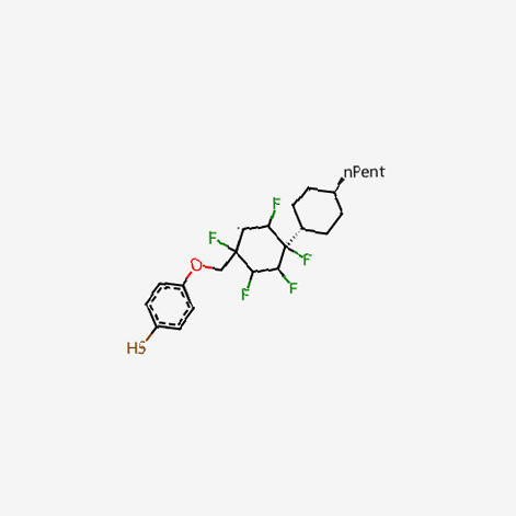 CCCCC[C@H]1CC[C@H](C2(F)C(F)[CH]C(F)(COc3ccc(S)cc3)C(F)C2F)CC1